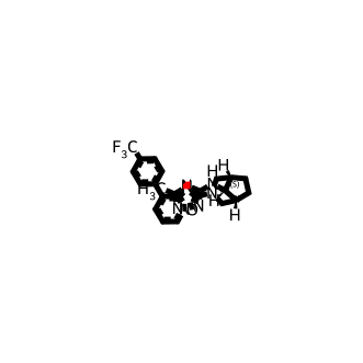 Cc1noc(N2C[C@H]3CC[C@@H](C2)[C@@H]3Nc2nc3c(-c4ccc(C(F)(F)F)cc4)cccn3n2)n1